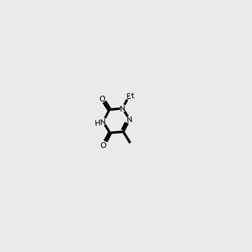 CCn1nc(C)c(=O)[nH]c1=O